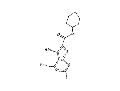 Cc1cc(C(F)(F)F)c2c(N)c(C(=O)NC3CCCCC3)sc2n1